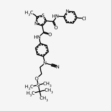 Cc1nc(C(=O)Nc2ccc(N(C#N)CCO[Si](C)(C)C(C)(C)C)cc2)c(C(=O)Nc2ccc(Cl)cn2)s1